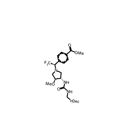 CCCCCCCCCCCNC(=O)N[C@H]1CN([C@H](c2ccc(C(=O)OC)cc2)C(F)(F)F)C[C@@H]1OC